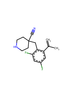 C=C(C)c1cc(F)cc(F)c1CC1(C#N)CCNCC1